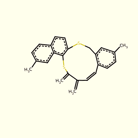 C=C1/C=C\c2ccc(C)cc2CSc2ccc3ccc(C)cc3c2SC1=C